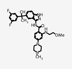 COCCNc1cc(N2CCN(C)CC2)ccc1C(=O)Nc1n[nH]c2ccc(C(C)(C)c3cc(F)cc(F)c3)cc12